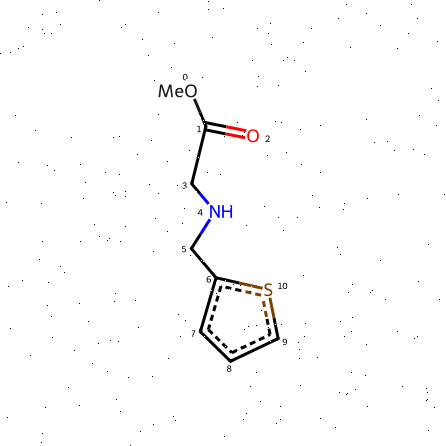 COC(=O)CNCc1cccs1